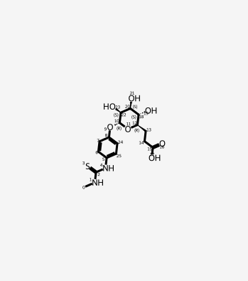 CNC(=S)Nc1ccc(O[C@H]2O[C@H](CCC(=O)O)[C@@H](O)[C@H](O)[C@@H]2O)cc1